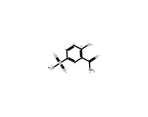 NC(=O)c1cc(S(N)(=O)=O)ccc1Cl